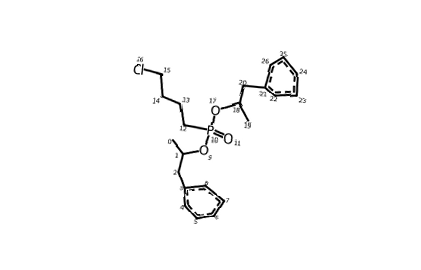 CC(Cc1ccccc1)OP(=O)(CCCCCl)OC(C)Cc1ccccc1